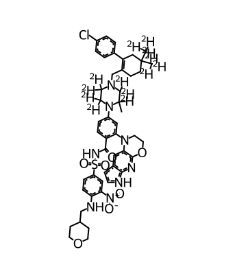 [2H]C([2H])([2H])C1(C([2H])([2H])[2H])CCC(CN2C([2H])([2H])C([2H])([2H])N(c3ccc(C(=O)NS(=O)(=O)c4ccc(NCC5CCOCC5)c([N+](=O)[O-])c4)c(N4CCOc5nc6[nH]ccc6cc54)c3)C([2H])(C)C2([2H])[2H])=C(c2ccc(Cl)cc2)C1